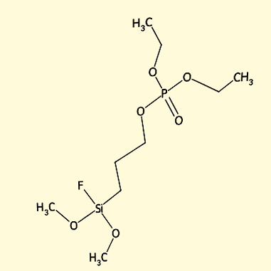 CCOP(=O)(OCC)OCCC[Si](F)(OC)OC